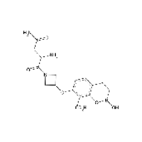 NC(=O)CC(N)C(=O)N1CC(Oc2ccc3c(c2C(=O)O)OB(O)CC3)C1